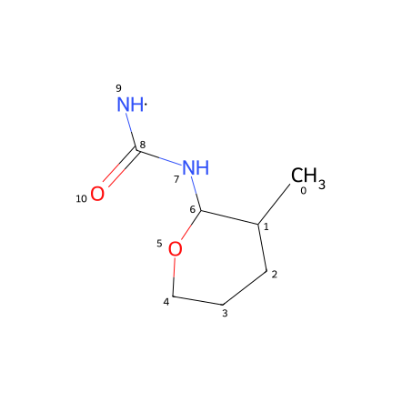 CC1CCCOC1NC([NH])=O